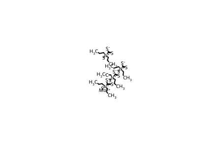 CCC[N+]([S-])(CCC)C(=S)[S-].CCC[N+]([S-])(CCC)C(=S)[S-].CCC[N+]([S-])(CCC)C(=S)[S-].CCC[N+]([S-])(CCC)C(=S)[S-].[Mo+4]